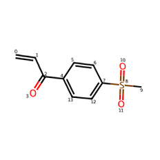 C=CC(=O)c1ccc(S(C)(=O)=O)cc1